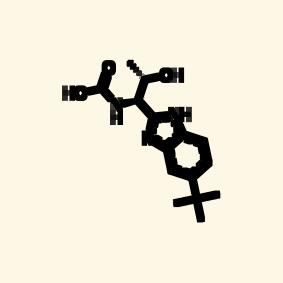 C[C@H](O)[C@H](NC(=O)O)c1nc2cc(C(C)(C)C)ccc2[nH]1